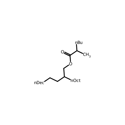 CCCCCCCCCCCCC(CCCCCCCC)COC(=O)C(C)CCCC